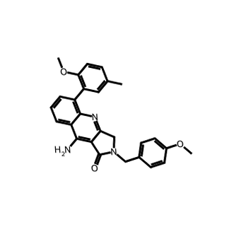 COc1ccc(CN2Cc3nc4c(-c5cc(C)ccc5OC)cccc4c(N)c3C2=O)cc1